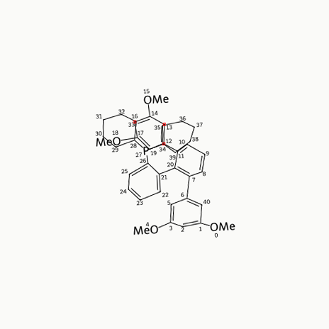 COc1cc(OC)cc(-c2cccc(-c3cc(OC)cc(OC)c3)c2-c2ccccc2P(C2CCCCC2)C2CCCCC2)c1